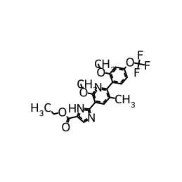 CCOC(=O)c1cnc(-c2cc(C)c(-c3ccc(OC(F)(F)F)cc3OC)nc2OC)[nH]1